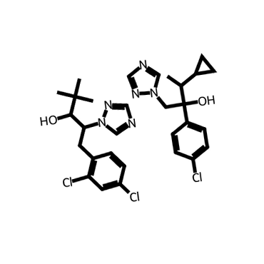 CC(C)(C)C(O)C(Cc1ccc(Cl)cc1Cl)n1cncn1.CC(C1CC1)C(O)(Cn1cncn1)c1ccc(Cl)cc1